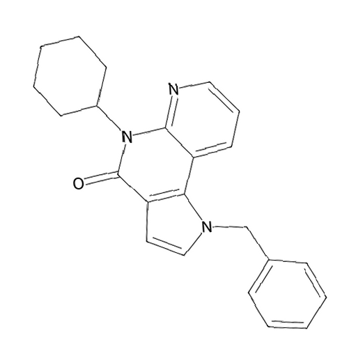 O=c1c2ccn(Cc3ccccc3)c2c2cccnc2n1C1CCCCC1